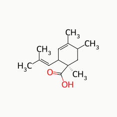 CC(C)=CC1C=C(C)C(C)C[C@@]1(C)C(=O)O